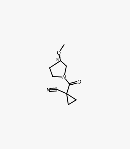 CO[C@@H]1CCN(C(=O)C2(C#N)CC2)C1